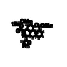 COC(=O)c1cccc(CC(C(=O)c2cnco2)c2ccc(OC)cc2NC(=O)OC(C)(C)C)n1